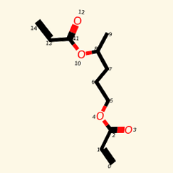 C=CC(=O)OCCCC(C)OC(=O)C=C